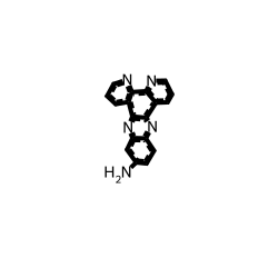 Nc1ccc2nc3c4cccnc4c4ncccc4c3nc2c1